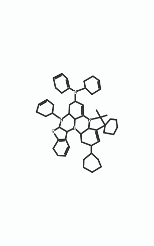 CC1(C)N2C3=CC(N(C4=CC=CCC4)C4CC=CCC4)CC4C3B(C3CC(C5CCCCC5)C=C(C32)C12CCCCC2)C1C2=C(CCC=C2)SC1N4C1CC=CCC1